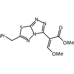 COC=C(C(=O)OC)c1nnc2sc(CC(C)C)nn12